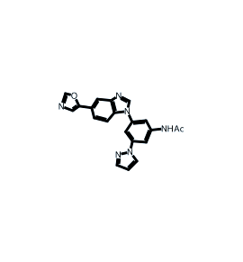 CC(=O)Nc1cc(-n2cccn2)cc(-n2cnc3cc(-c4cnco4)ccc32)c1